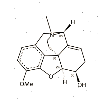 COc1ccc2c3c1O[C@@H]1[C@H](O)CC=C4[C@@H](C2)N(C)CC[C@@]431